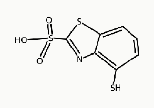 O=S(=O)(O)c1nc2c(S)cccc2s1